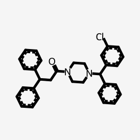 O=C(CC(c1ccccc1)c1ccccc1)N1CCN(C(c2ccccc2)c2cccc(Cl)c2)CC1